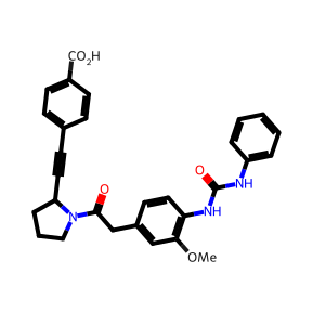 COc1cc(CC(=O)N2CCCC2C#Cc2ccc(C(=O)O)cc2)ccc1NC(=O)Nc1ccccc1